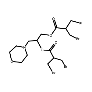 O=C(OCC(CN1CCOCC1)OC(=O)C(CBr)CBr)C(CBr)CBr